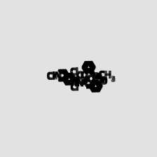 CS(=O)(=O)c1cccc(C[C@H](NC(=O)c2c(Cl)cc3c(c2Cl)CCN(Cl)C3)C(=O)OCc2ccccc2)c1